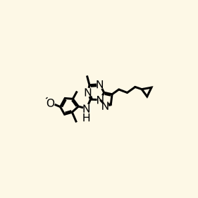 COc1cc(C)c(Nc2nc(C)nc3c(CCCC4CC4)cnn23)c(C)c1